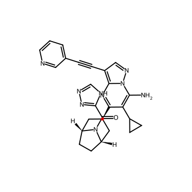 Nc1c(C2CC2)c([C@@H]2C[C@H]3CC[C@@H](C2)N3C(=O)c2nnc[nH]2)nc2c(C#Cc3cccnc3)cnn12